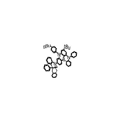 CC(C)(C)c1ccc(N2c3cc(N4c5ccccc5C5(c6ccccc6)Cc6ccccc6CC45C)ccc3B3c4ccccc4N(c4ccccc4)c4cc(C(C)(C)C)cc2c43)cc1